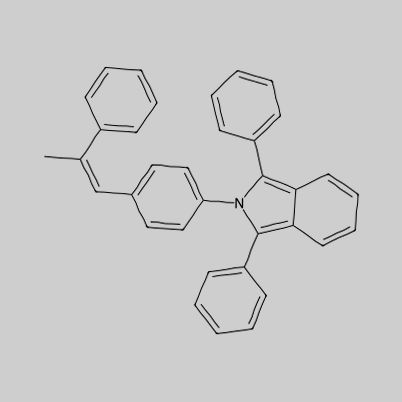 CC(=Cc1ccc(-n2c(-c3ccccc3)c3ccccc3c2-c2ccccc2)cc1)c1ccccc1